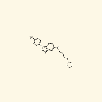 Brc1ccc(-c2csc3cc(OCCCCN4CCCC4)ccc23)cc1